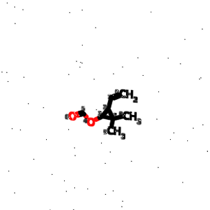 C=CC1C(OC=O)C1(C)C